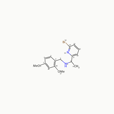 COc1ccc(CNC(C)c2cccc(Br)n2)c(OC)c1